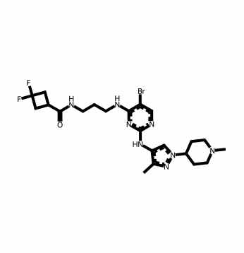 Cc1nn(C2CCN(C)CC2)cc1Nc1ncc(Br)c(NCCCNC(=O)C2CC(F)(F)C2)n1